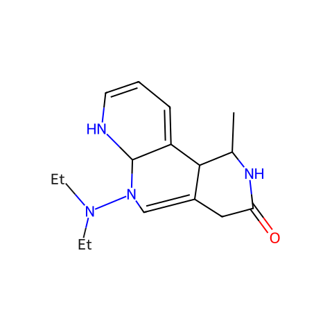 CCN(CC)N1C=C2CC(=O)NC(C)C2C2=CC=CNC21